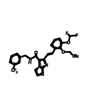 CC(C)(C)COc1c(/C=C/c2nc3sccn3c2C(=O)NCc2cccc(C(F)(F)F)c2)cccc1OC(F)F